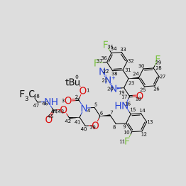 CC(C)(C)OC(=O)N1C[C@@H](CCc2c(F)cccc2NC(=O)[C@@H](N=[N+]=[N-])[C@H](c2cccc(F)c2)c2ccc(F)c(F)c2)OC[C@H]1COC(=O)NCC(F)(F)F